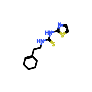 S=C(NCCC1=CCCCC1)Nc1nccs1